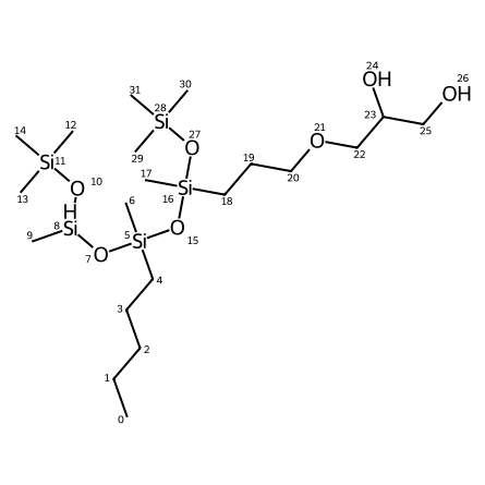 CCCCC[Si](C)(O[SiH](C)O[Si](C)(C)C)O[Si](C)(CCCOCC(O)CO)O[Si](C)(C)C